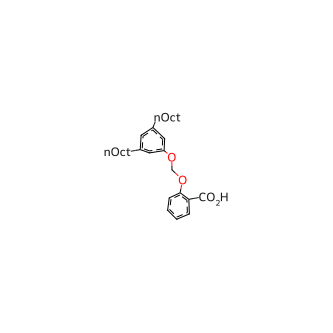 CCCCCCCCc1cc(CCCCCCCC)cc(OCOc2ccccc2C(=O)O)c1